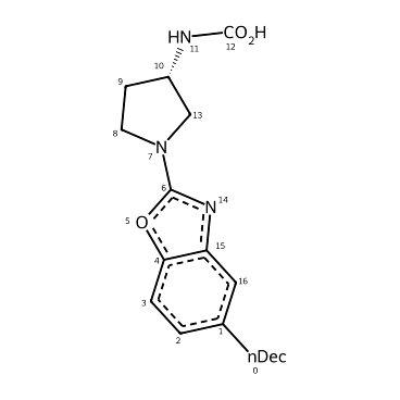 CCCCCCCCCCc1ccc2oc(N3CC[C@H](NC(=O)O)C3)nc2c1